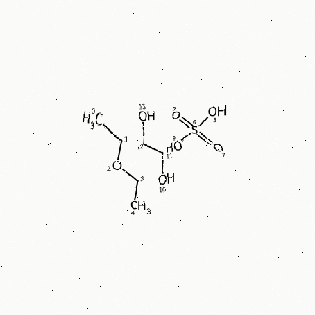 CCOCC.O=S(=O)(O)O.OCCO